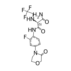 NC(=O)[C@H](NCC(F)(F)F)C(=O)Nc1ccc(N2CCOCC2=O)cc1F